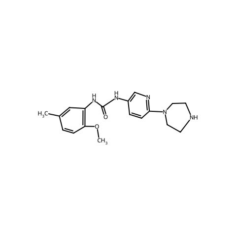 COc1ccc(C)cc1NC(=O)Nc1ccc(N2CCNCC2)nc1